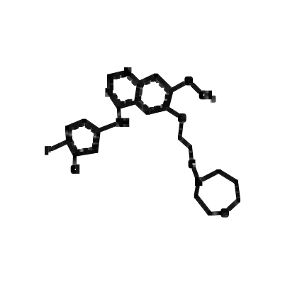 COc1cc2ncnc(Nc3ccc(F)c(Cl)c3)c2cc1OCCCN1CCCOCC1